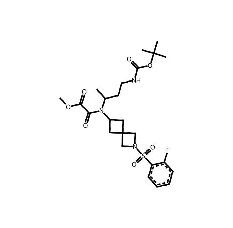 COC(=O)C(=O)N(C(C)CCNC(=O)OC(C)(C)C)C1CC2(C1)CN(S(=O)(=O)c1ccccc1F)C2